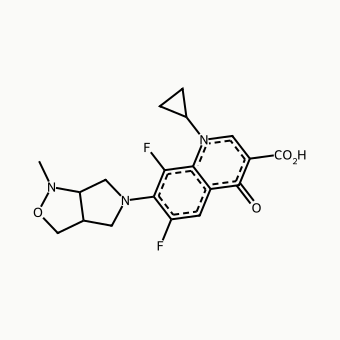 CN1OCC2CN(c3c(F)cc4c(=O)c(C(=O)O)cn(C5CC5)c4c3F)CC21